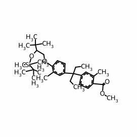 CCC(CC)(c1ccc(OCC(O[Si](C)(C)C(C)(C)C)C(C)(C)C)c(C)c1)c1ccc(C(=O)OC)c(C)c1